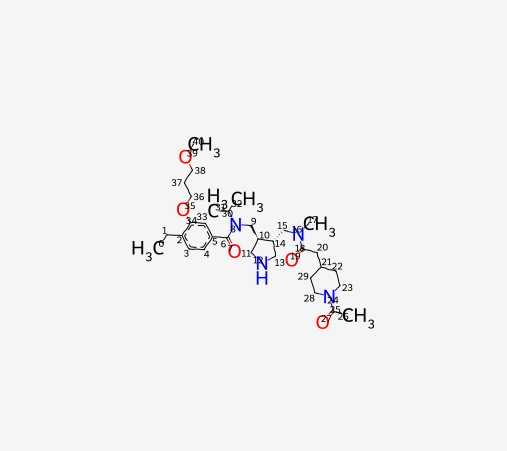 CCc1ccc(C(=O)N(C[C@@H]2CNC[C@H]2CN(C)C(=O)CC2CCN(C(C)=O)CC2)C(C)C)cc1OCCCOC